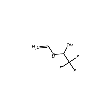 C=CNC(O)C(F)(F)F